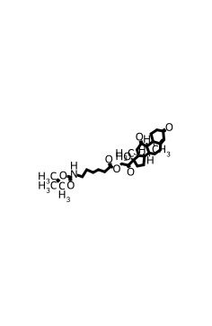 CC(C)(C)OC(=O)NCCCCCC(=O)OCC(=O)[C@@]1(O)CC[C@H]2[C@@H]3CCC4=CC(=O)CC[C@]4(C)[C@H]3C(=O)C[C@@]21C